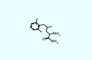 Cc1cccc(C)c1CC(C)CC(N)C(N)=O